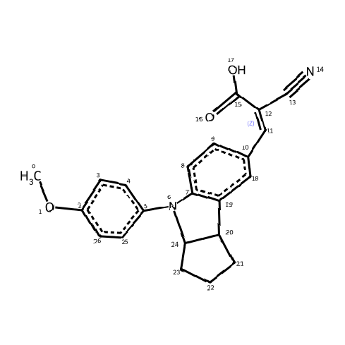 COc1ccc(N2c3ccc(/C=C(/C#N)C(=O)O)cc3C3CCCC32)cc1